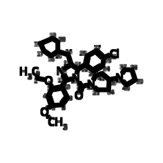 CCOc1cc(OC)ccc1C1=NC(CC2CCCCC2)C(c2ccc(Cl)cc2)N1C(=O)N1CCC(N2CCCC2)CC1